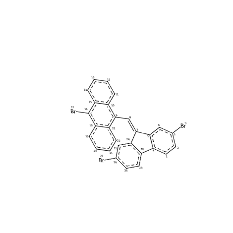 Brc1ccc2c(c1)C(=Cc1c3ccccc3c(Br)c3ccccc13)c1cc(Br)ccc1-2